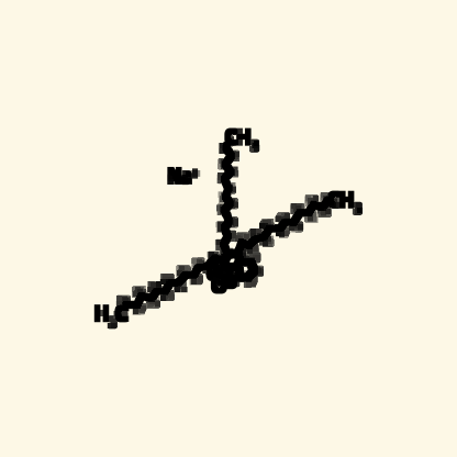 CCCCCCCCCCCCCCc1c(CCCCCCCCCCCCCC)c(S(=O)(=O)[O-])c2ccccc2c1CCCCCCCCCCCCCC.[Na+]